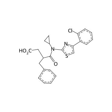 O=C(O)CC(Cc1ccccc1)C(=O)N(c1nc(-c2ccccc2Cl)cs1)C1CC1